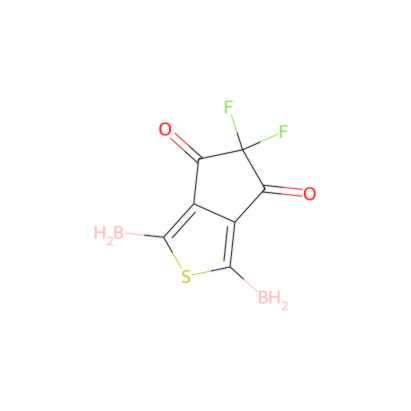 Bc1sc(B)c2c1C(=O)C(F)(F)C2=O